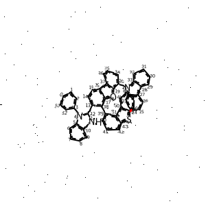 c1ccc(N2c3ccccc3NC2c2ccc3c(oc4c(-n5c6ccccc6c6ccccc65)cccc43)c2-c2cccc3sc4ccccc4c23)cc1